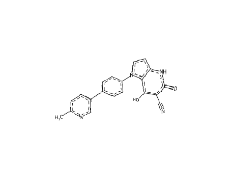 Cc1ccc(-c2ccc(-n3ccc4[nH]c(=O)c(C#N)c(O)c43)cc2)cn1